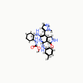 COC(=O)N[C@H]1CCCC[C@H]1Nc1nc(Nc2cccc(C)c2)c2c(c1-c1ccnn1C)CNC2=O